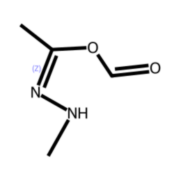 CN/N=C(/C)OC=O